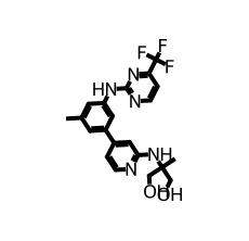 Cc1cc(Nc2nccc(C(F)(F)F)n2)cc(-c2ccnc(NC(C)(CO)CO)c2)c1